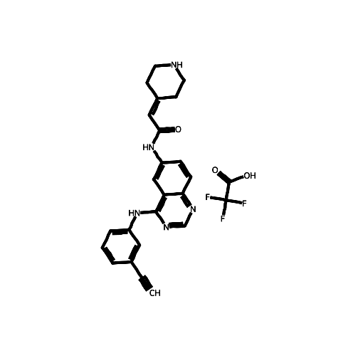 C#Cc1cccc(Nc2ncnc3ccc(NC(=O)C=C4CCNCC4)cc23)c1.O=C(O)C(F)(F)F